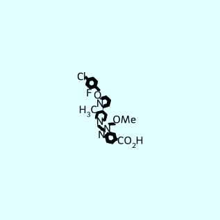 COCCn1c(CN2CC[C@@H](c3cccc(OCc4ccc(Cl)cc4F)n3)[C@H](C)C2)nc2ccc(C(=O)O)cc21